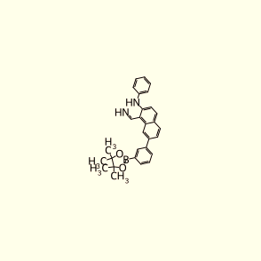 CC1(C)OB(c2cccc(-c3ccc4ccc(Nc5ccccc5)c(C=N)c4c3)c2)OC1(C)C